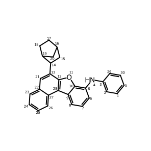 c1ccc(Nc2cccc3c2oc2c(C4CC5CCC4C5)cc4ccccc4c23)cc1